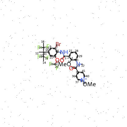 COc1c(C(=O)Nc2c(Br)cc(C(C)(C(C)(F)F)C(C)(F)F)cc2OC(F)F)cccc1N(C)C(=O)c1cc[n+](OC)cc1